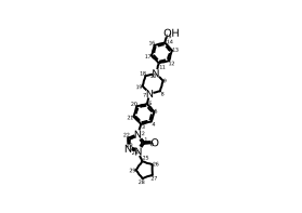 O=c1n(-c2ccc(N3CCN(c4ccc(O)cc4)CC3)cc2)cnn1C1CCCC1